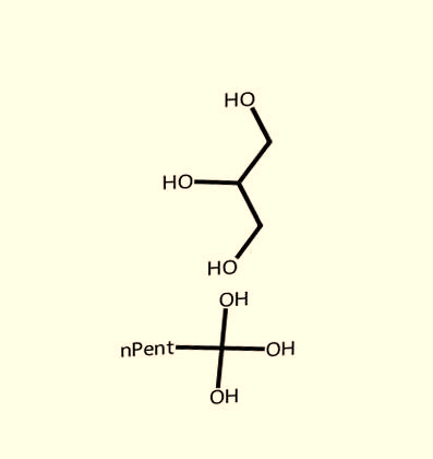 CCCCCC(O)(O)O.OCC(O)CO